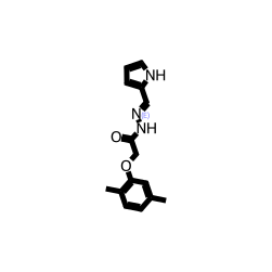 Cc1ccc(C)c(OCC(=O)N/N=C/c2ccc[nH]2)c1